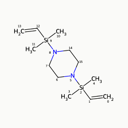 C=C[Si](C)(C)N1CCN([Si](C)(C)C=C)CC1